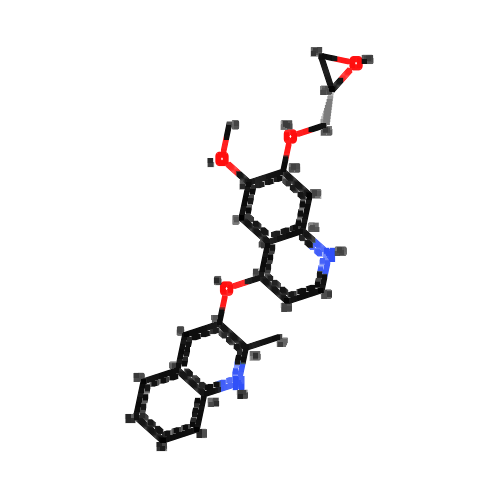 COc1cc2c(Oc3cc4ccccc4nc3C)ccnc2cc1OC[C@@H]1CO1